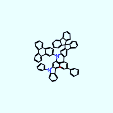 c1ccc(-c2cccc(-c3cc4c(cc3N(c3ccc5c6ccccc6c6ccccc6c5c3)c3ccc5c6ccccc6n(-c6ccccc6)c5c3)C3(c5ccccc5-c5ccccc53)c3ccccc3-4)c2)cc1